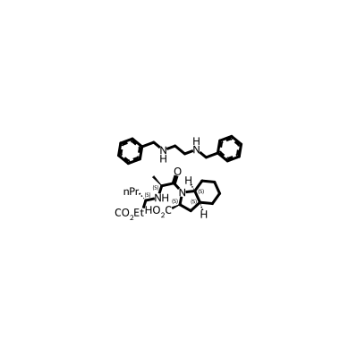 CCC[C@H](N[C@@H](C)C(=O)N1[C@H](C(=O)O)C[C@@H]2CCCC[C@@H]21)C(=O)OCC.c1ccc(CNCCNCc2ccccc2)cc1